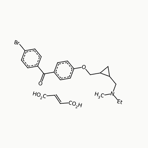 CCN(C)CC1CC1COc1ccc(C(=O)c2ccc(Br)cc2)cc1.O=C(O)/C=C/C(=O)O